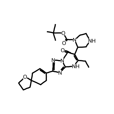 CCc1[nH]c2nc(C3=CCC4(CCCO4)CC3)nn2c(=O)c1C1CNCCN1C(=O)OC(C)(C)C